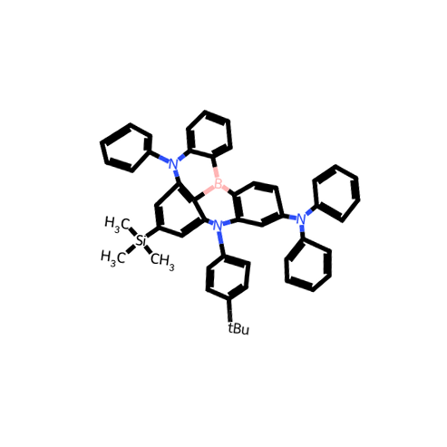 CC(C)(C)c1ccc(N2c3cc(N(c4ccccc4)c4ccccc4)ccc3B3c4ccccc4N(c4ccccc4)c4cc([Si](C)(C)C)cc2c43)cc1